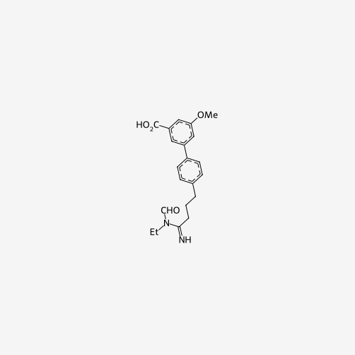 CCN(C=O)C(=N)CCCc1ccc(-c2cc(OC)cc(C(=O)O)c2)cc1